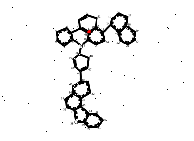 C1=CC(c2ccccc2N(c2ccc(-c3cccc4ccccc34)cc2)C2C=CC(c3ccc4c(ccc5oc6ccccc6c54)c3)=CC2)=CCC1